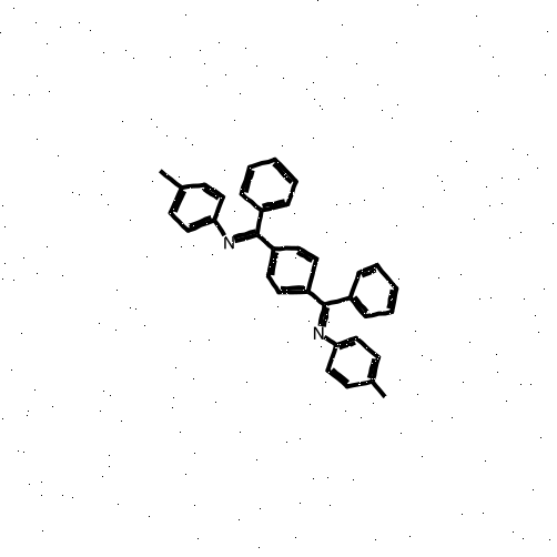 Cc1ccc(/N=C(\c2ccccc2)c2ccc(/C(=N/c3ccc(C)cc3)c3ccccc3)cc2)cc1